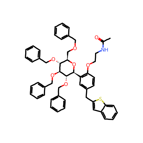 CC(=O)NCCOc1ccc(Cc2cc3ccccc3s2)cc1[C@@H]1O[C@H](COCc2ccccc2)[C@@H](OCc2ccccc2)[C@H](OCc2ccccc2)[C@H]1OCc1ccccc1